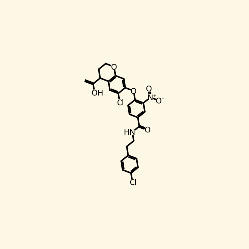 C=C(O)C1CCOc2cc(Oc3ccc(C(=O)NCCc4ccc(Cl)cc4)cc3[N+](=O)[O-])c(Cl)cc21